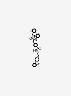 Cc1ccccc1CN1C(=O)C(=Cc2ccc(C(=O)NCCCN3CCN(c4ccccc4F)CC3)cc2)Sc2ccccc21